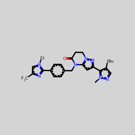 CCn1cc(C(F)(F)F)nc1-c1ccc(CN2C(=O)CCn3nc(-c4c(C(C)(C)C)cnn4C)cc32)cc1